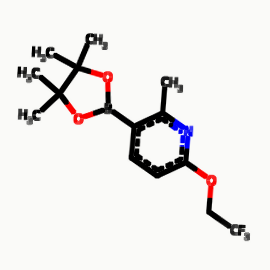 Cc1nc(OCC(F)(F)F)ccc1B1OC(C)(C)C(C)(C)O1